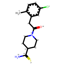 Cc1ccc(Cl)cc1CC(=O)N1CCC(C(N)=S)CC1